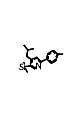 Cc1ccc(-c2cc(CC(C)C)c([Si](C)(C)C)cn2)cc1